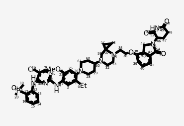 CCc1cc(Nc2ncc(Cl)c(Nc3ccccc3P(C)(C)=O)n2)c(OC)cc1N1CCC(N2CCN(CCOc3cccc4c3CN(C3CCC(=O)NC3=O)C4=O)C3(CC3)C2)CC1